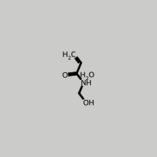 C=CC(=O)NCO.O